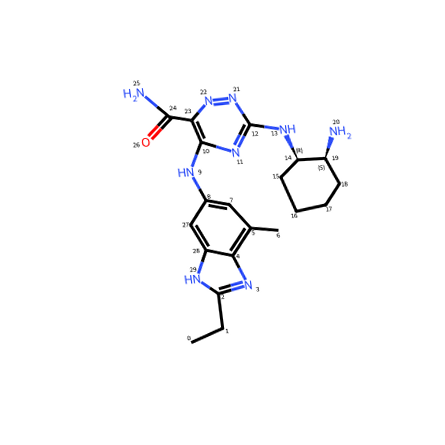 CCc1nc2c(C)cc(Nc3nc(N[C@@H]4CCCC[C@@H]4N)nnc3C(N)=O)cc2[nH]1